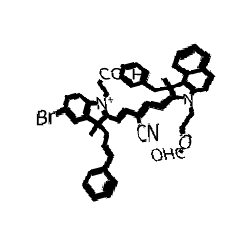 CC1(C/C=C/c2ccccc2)C(/C=C/C(C#N)=C/C=C2/N(CCOC=O)c3ccc4ccccc4c3C2(C)Cc2ccccc2)=[N+](CCC(=O)O)c2ccc(Br)cc21